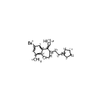 Cc1cc(Br)cc(C(=O)NCCN2CCCC2)c1O.Cl